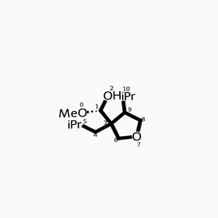 CO[C@H](O)C1(CC(C)C)COCC1C(C)C